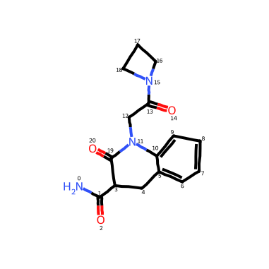 NC(=O)C1Cc2ccccc2N(CC(=O)N2CCC2)C1=O